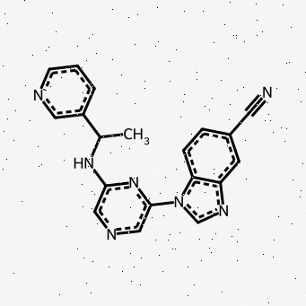 CC(Nc1cncc(-n2cnc3cc(C#N)ccc32)n1)c1cccnc1